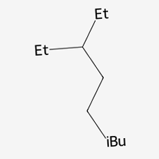 C[CH]C(C)CCC(CC)CC